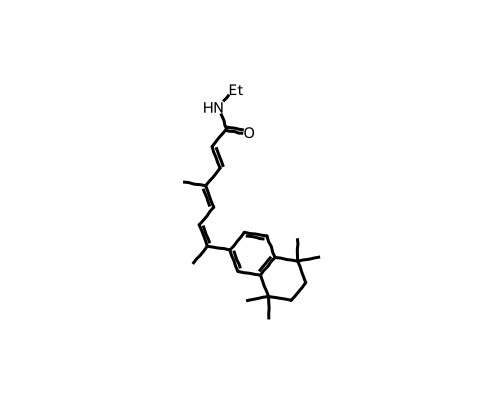 CCNC(=O)/C=C/C(C)=C/C=C(/C)c1ccc2c(c1)C(C)(C)CCC2(C)C